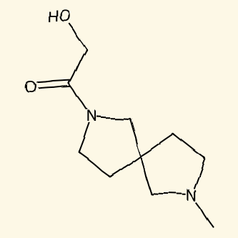 CN1CCC2(CCN(C(=O)CO)C2)C1